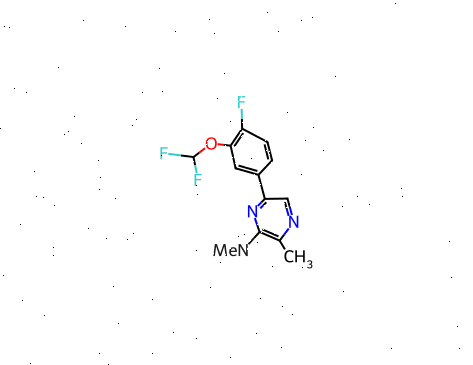 CNc1nc(-c2ccc(F)c(OC(F)F)c2)cnc1C